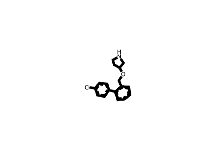 Clc1ccc(-c2ccccc2COC2CCNC2)cc1